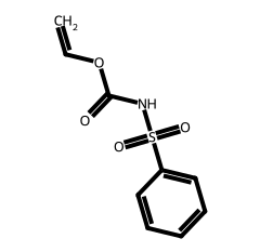 C=COC(=O)NS(=O)(=O)c1ccccc1